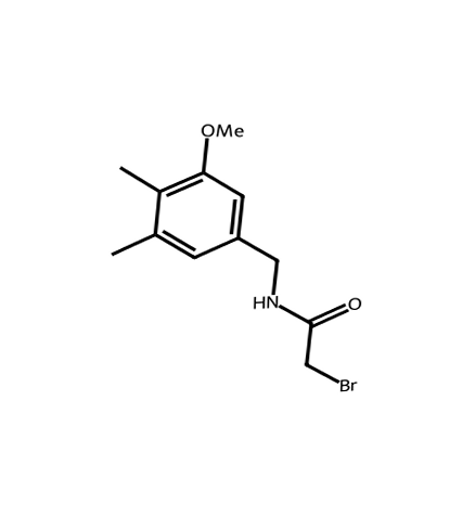 COc1cc(CNC(=O)CBr)cc(C)c1C